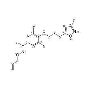 C=CCON=C(C)c1cc(C)c(OCCCc2cc(C)no2)c(C)c1